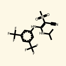 CC(C)N/C(Nc1cc(C(F)(F)F)cc(C(F)(F)F)c1)=C(\C#N)S(C)(=O)=O